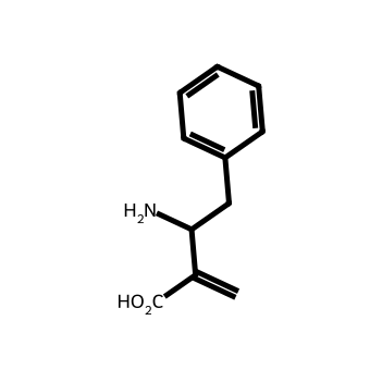 C=C(C(=O)O)C(N)Cc1ccccc1